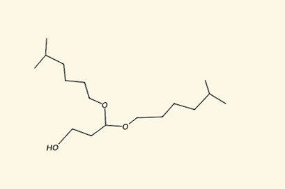 CC(C)CCCCOC(CCO)OCCCCC(C)C